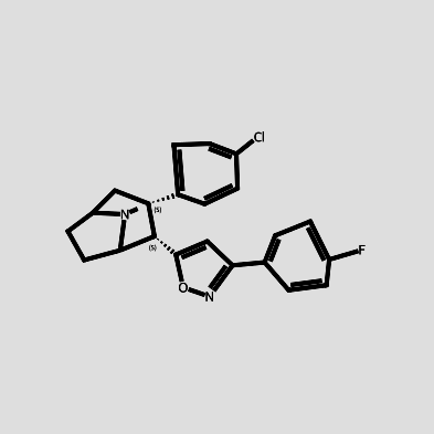 CN1C2CCC1[C@@H](c1cc(-c3ccc(F)cc3)no1)[C@@H](c1ccc(Cl)cc1)C2